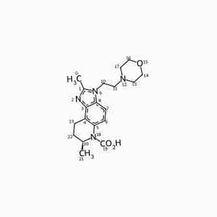 Cc1nc2c3c(ccc2n1CCN1CCOCC1)N(C(=O)O)[C@@H](C)CC3